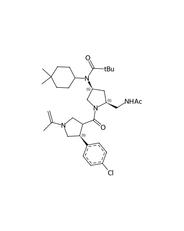 C=C(C)N1CC(C(=O)N2C[C@@H](N(C(=O)C(C)(C)C)C3CCC(C)(C)CC3)C[C@H]2CNC(C)=O)[C@@H](c2ccc(Cl)cc2)C1